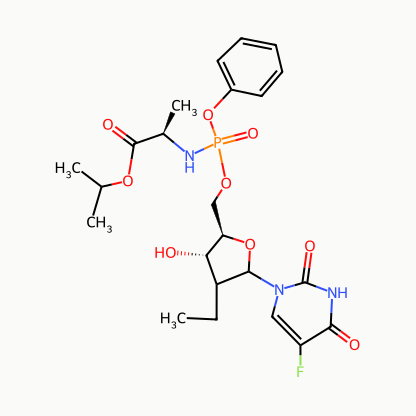 CCC1C(n2cc(F)c(=O)[nH]c2=O)O[C@H](COP(=O)(N[C@H](C)C(=O)OC(C)C)Oc2ccccc2)[C@H]1O